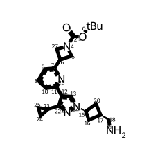 CC(C)(C)OC(=O)N1CC(c2cccc(-c3cn([C@H]4C[C@H](CN)C4)nc3C3CC3)n2)C1